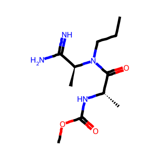 CCCN(C(=O)[C@H](C)NC(=O)OC)[C@@H](C)C(=N)N